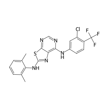 Cc1cccc(C)c1Nc1nc2c(Nc3ccc(C(F)(F)F)c(Cl)c3)ncnc2s1